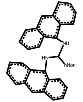 CCCCCCCCCC(Nc1c2ccccc2cc2ccccc12)Nc1c2ccccc2cc2ccccc12